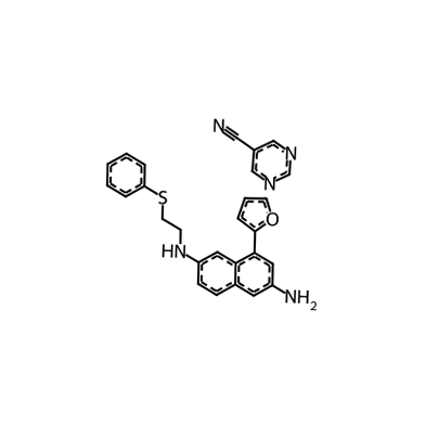 N#Cc1cncnc1.Nc1cc(-c2ccco2)c2cc(NCCSc3ccccc3)ccc2c1